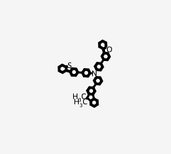 CC1(C)c2ccccc2-c2cc(-c3cccc(N(c4ccc(-c5ccc6c(c5)sc5ccccc56)cc4)c4ccc(-c5ccc6oc7ccccc7c6c5)cc4)c3)ccc21